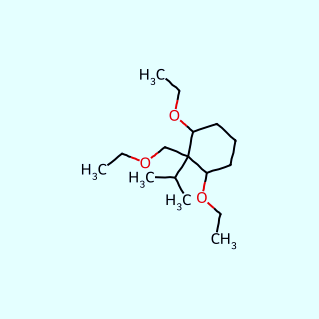 CCOCC1(C(C)C)C(OCC)CCCC1OCC